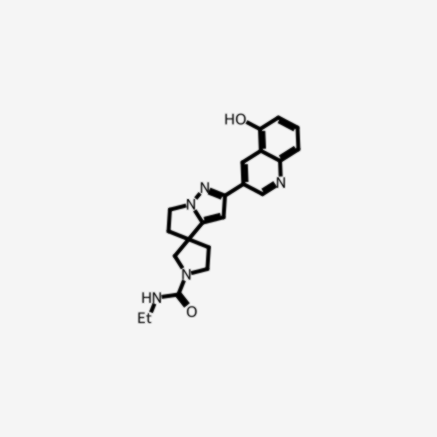 CCNC(=O)N1CCC2(CCn3nc(-c4cnc5cccc(O)c5c4)cc32)C1